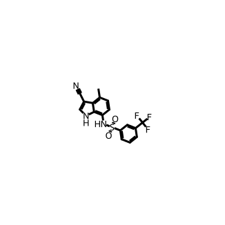 Cc1ccc(NS(=O)(=O)c2cccc(C(F)(F)F)c2)c2[nH]cc(C#N)c12